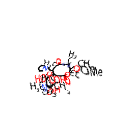 CCC1OC(=O)CC(O)C(C)C(OC2OC(C)C(O)C(N(C)C)C2O)C(CCN2CCCCC2)CC(C)C(=O)/C=C/C(C)=C/C1COC(C)OC